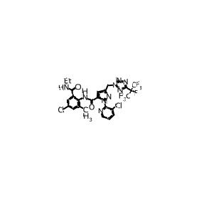 CCNC(=O)c1cc(Cl)cc(C)c1NC(=O)c1cc(Cn2nnc(C(F)(C(F)(F)F)C(F)(F)F)n2)nn1-c1ncccc1Cl